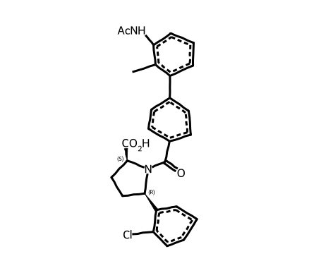 CC(=O)Nc1cccc(-c2ccc(C(=O)N3[C@@H](c4ccccc4Cl)CC[C@H]3C(=O)O)cc2)c1C